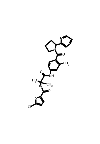 Cc1cc(NC(=O)C(C)(C)NC(=O)c2ccc(Cl)s2)ccc1C(=O)N1CCCC1c1ccccn1